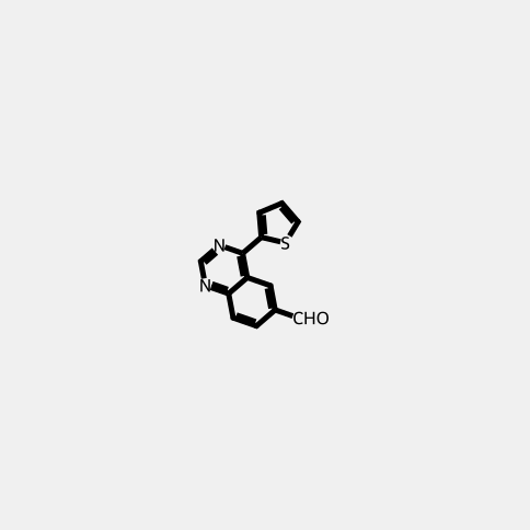 O=Cc1ccc2ncnc(-c3cccs3)c2c1